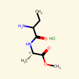 CCC(N)C(=O)N[C@@H](C)C(=O)OC.Cl